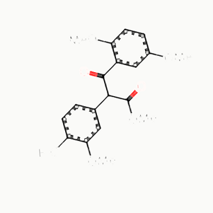 COC(=O)C(C(=O)c1cc(OC)ccc1OC)c1ccc(C(F)(F)F)c(OC)c1